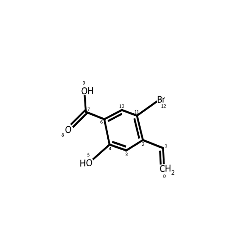 C=Cc1cc(O)c(C(=O)O)cc1Br